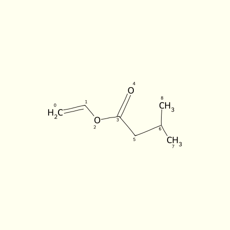 C=COC(=O)CC(C)C